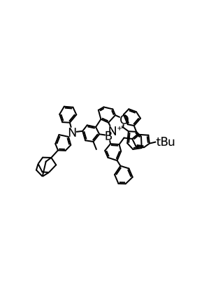 Cc1cc(N(c2ccccc2)c2ccc(C34CC5CC(C3)C(C5)C4)cc2)cc2c1B(c1ccc(-c3ccccc3)cc1Cc1ccc(C(C)(C)C)cc1-c1ccccc1)[n+]1c(-c3ccccc3)oc3cccc-2c31